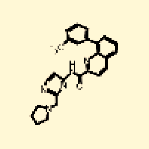 O=C(Nc1ccnc(CN2CCCC2)n1)c1ccc2cccc(-c3cccc(C(F)(F)F)c3)c2n1